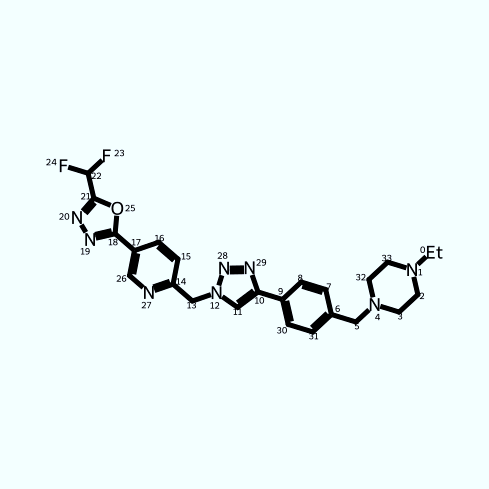 CCN1CCN(Cc2ccc(-c3cn(Cc4ccc(-c5nnc(C(F)F)o5)cn4)nn3)cc2)CC1